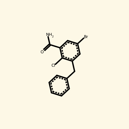 NC(=O)c1cc(Br)cc(Cc2ccccc2)c1Cl